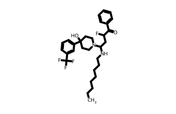 CCCCCCCCNC(CC(F)C(=O)c1ccccc1)N1CCC(O)(c2cccc(C(F)(F)F)c2)CC1